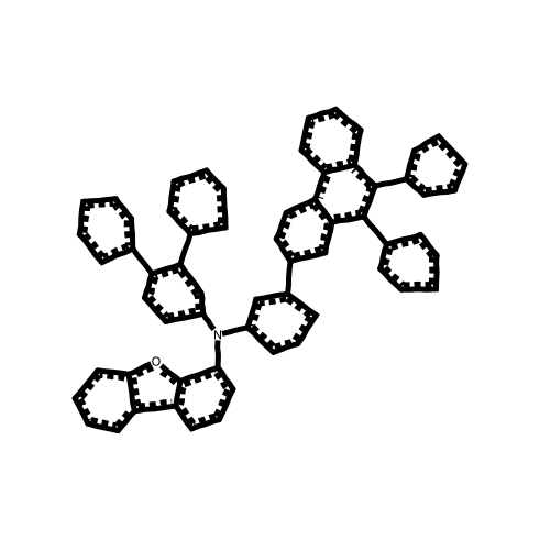 c1ccc(-c2ccc(N(c3cccc(-c4ccc5c(c4)c(-c4ccccc4)c(-c4ccccc4)c4ccccc45)c3)c3cccc4c3oc3ccccc34)cc2-c2ccccc2)cc1